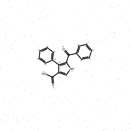 O=C(O)c1c[nH]c(C(=O)c2ccccc2)c1-c1ccccc1